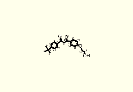 CC(C)(C)c1ccc(C(=O)CC(=O)c2ccc(OCCO)cc2)cc1